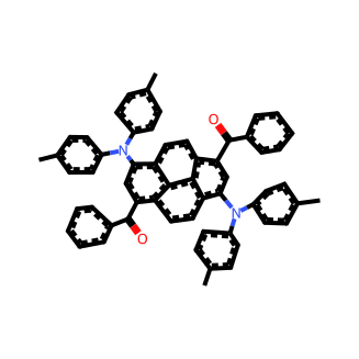 Cc1ccc(N(c2ccc(C)cc2)c2cc(C(=O)c3ccccc3)c3ccc4c(N(c5ccc(C)cc5)c5ccc(C)cc5)cc(C(=O)c5ccccc5)c5ccc2c3c54)cc1